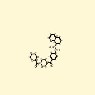 O=C(c1ccc(N[S+]([O-])c2cccc3cccnc23)cc1)N1CCN(C(=O)C2CCCCO2)CC1